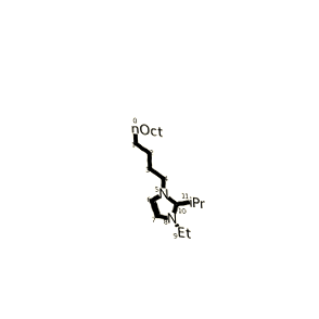 CCCCCCCCCCCCN1C=CN(CC)C1C(C)C